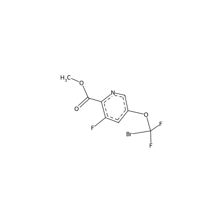 COC(=O)c1ncc(OC(F)(F)Br)cc1F